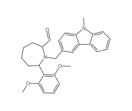 COc1cccc(OC)c1C1CCCCC(C=O)N1Cc1ccc2c(c1)c1ccccc1n2C